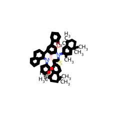 Cc1cc2c(cc1N1c3sc4cc5c(cc4c3B3c4c(cc6c(oc7ccccc76)c41)-c1ccc4ccccc4c1N3c1ccc(C(C)(C)C)cc1)C(C)(C)CCC5(C)C)C(C)(C)CCC2(C)C